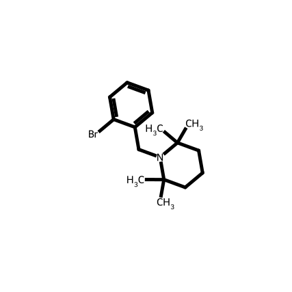 CC1(C)CCCC(C)(C)N1Cc1ccccc1Br